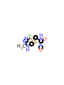 CC(Nc1ccc2c(c1)Sc1cccc(-c3cc(N4CCOCC4)cc(=O)[nH]3)c1S2)c1cc(CF)ncn1